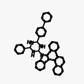 c1ccc(-c2ccc(C3NC(c4ccccc4)NC(n4c5ccccc5c5c6c7ccccc7ccc6c6ccccc6c54)N3)cc2)cc1